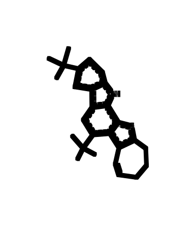 CC(C)(C)c1ccc2[nH]c3c(cc(C(C)(C)C)c4c5c(sc43)CCCC=C5)c2c1